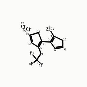 FC(F)(F)CC1=C(C2=[C]([Zr+2])CC=C2)CC=C1.[Cl-].[Cl-]